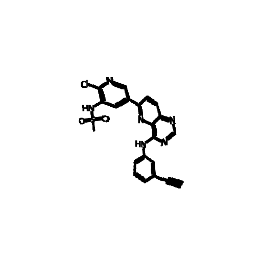 C#Cc1cccc(Nc2ncnc3ccc(-c4cnc(Cl)c(NS(C)(=O)=O)c4)nc23)c1